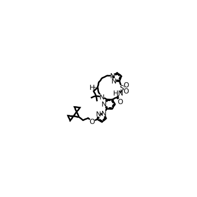 CC1(C)C[C@H]2CCCn3ccc(n3)S(=O)(=O)NC(=O)c3ccc(-n4ccc(OCCC5C6(CC6)C56CC6)n4)nc3N1C2